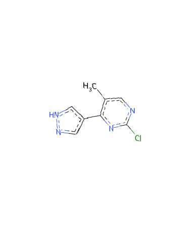 Cc1cnc(Cl)nc1-c1cn[nH]c1